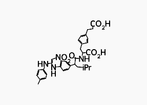 Cc1ccc(NC(=C[N+](=O)[O-])Nc2ccc(C(CC(C)C)C(=O)NC(Cc3ccc(CCC(=O)O)cc3)C(=O)O)cc2)cc1